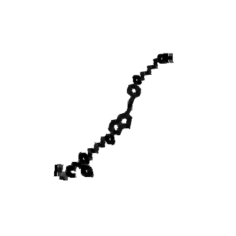 C=CC(=O)OCCCCCCOc1ccc2cc(C#Cc3ccc(OCCCCCCO)cc3)ccc2c1